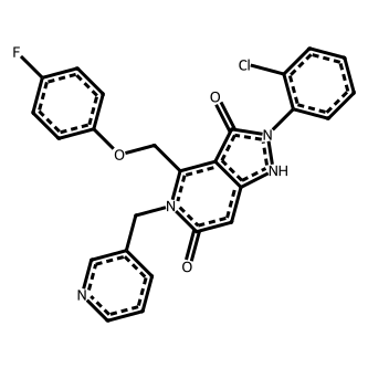 O=c1c2c(COc3ccc(F)cc3)n(Cc3cccnc3)c(=O)cc2[nH]n1-c1ccccc1Cl